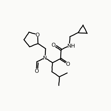 CC(C)CC(C(=O)C(=O)NCC1CC1)N(C=O)CC1CCCO1